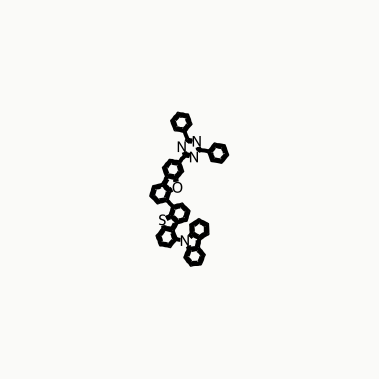 c1ccc(-c2nc(-c3ccccc3)nc(-c3ccc4c(c3)oc3c(-c5cccc6c5sc5cccc(-n7c8ccccc8c8ccccc87)c56)cccc34)n2)cc1